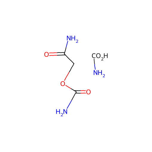 NC(=O)COC(N)=O.NC(=O)O